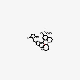 O=C1CCC(=O)N1Cc1cc2nccc(-c3cc(Cl)cc4c3N([C@@H]3CCCNCC3)CCC4)c2s1.O=CO